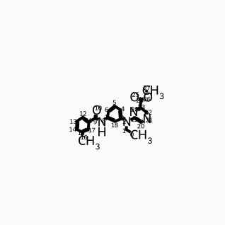 CCN(c1cccc(NC(=O)c2cccc(C)c2)c1)c1cncc(C(=O)OC)n1